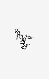 CCOc1ncccc1-c1ccc(C2(NC(=O)[C@H]3CCNC3)CCN(c3ccc(C(F)(F)F)cc3C#N)CC2)cn1